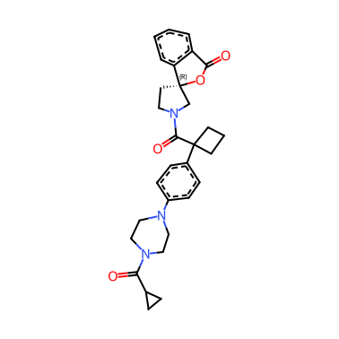 O=C1O[C@]2(CCN(C(=O)C3(c4ccc(N5CCN(C(=O)C6CC6)CC5)cc4)CCC3)C2)c2ccccc21